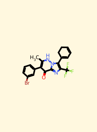 Cc1[nH]n2c(C3=CC=CCC3)c(C(F)(F)F)nc2c(=O)c1-c1cccc(Br)c1